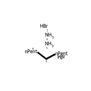 Br.Br.CCCCCCCCCCC.N.N